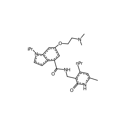 CCCc1cc(C)[nH]c(=O)c1CNC(=O)c1cc(OCCN(C)C)cc2c1ccn2C(C)C